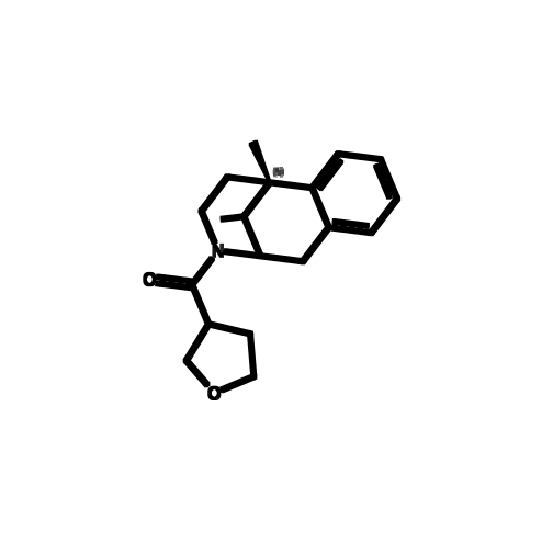 CC1C2Cc3ccccc3[C@@]1(C)CCN2C(=O)C1CCOC1